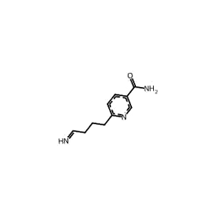 N=CCCCc1ccc(C(N)=O)cn1